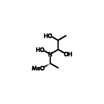 CO[C@@H](C)N(O)C(O)C(C)O